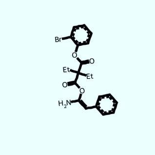 CCC(CC)(C(=O)OC(N)=Cc1ccccc1)C(=O)Oc1ccccc1Br